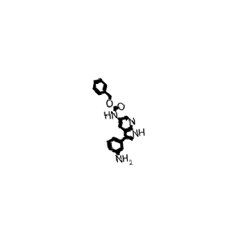 Nc1cccc(-c2c[nH]c3ncc(NC(=O)OCc4ccccc4)cc23)c1